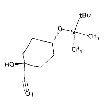 C#C[C@]1(O)CC[C@H](O[Si](C)(C)C(C)(C)C)CC1